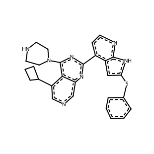 c1ccc(Sc2cc3c(-c4nc(N5CCNCC5)c5c(C6CCC6)cncc5n4)ccnc3[nH]2)cc1